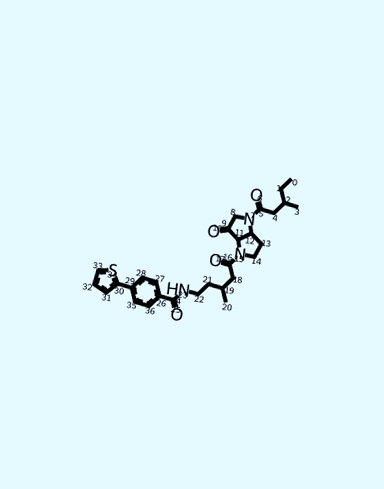 CCC(C)CC(=O)N1CC(=O)C2C1CCN2C(=O)CC(C)CCNC(=O)c1ccc(-c2cccs2)cc1